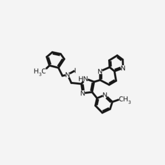 Cc1cccc(-c2nc(CN(I)Cc3ccccc3C)[nH]c2-c2ccc3ncccc3n2)n1